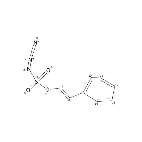 [N-]=[N+]=NS(=O)(=O)OC=Cc1ccccc1